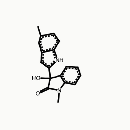 Cc1ccc2[nH]c(C3(O)C(=O)N(C)c4ccccc43)cc2c1